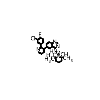 CC1(C)CCCC(C)(C)N1ONc1ncnc2ccc(-c3cccnc3-c3ccc(F)c(Cl)c3)cc12